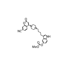 COC(=O)Oc1ccc2[nH]cc(CCCCN3CCN(c4cc(=O)oc5cc(C#N)ccc45)CC3)c2c1